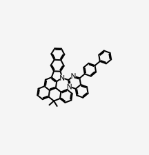 CC1(C)c2ccccc2-c2c3c1cccc3cc1c3cc4ccccc4cc3n(-c3nc(-c4ccc(-c5ccccc5)cc4)c4ccccc4n3)c21